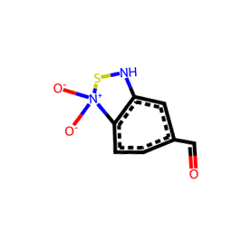 O=Cc1ccc2c(c1)NS[N+]2([O-])[O-]